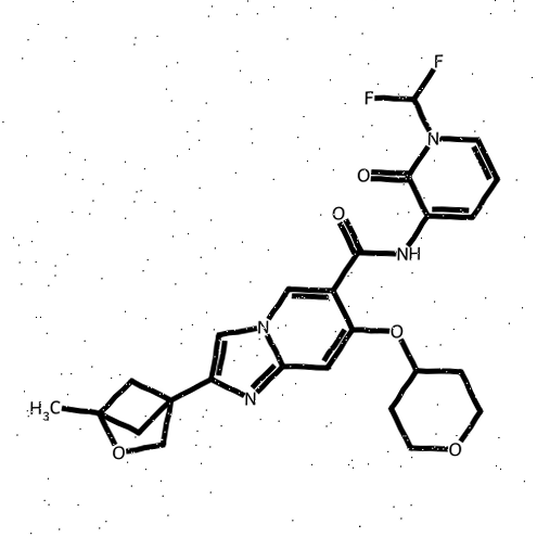 CC12CC(c3cn4cc(C(=O)Nc5cccn(C(F)F)c5=O)c(OC5CCOCC5)cc4n3)(CO1)C2